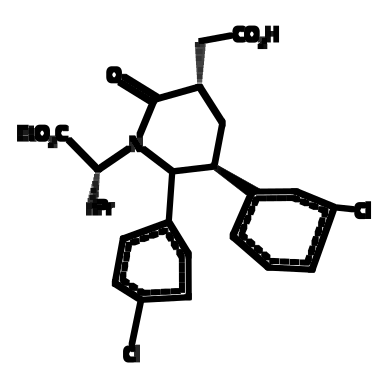 CCC[C@H](C(=O)OCC)N1C(=O)[C@H](CC(=O)O)C[C@@H](c2cccc(Cl)c2)C1c1ccc(Cl)cc1